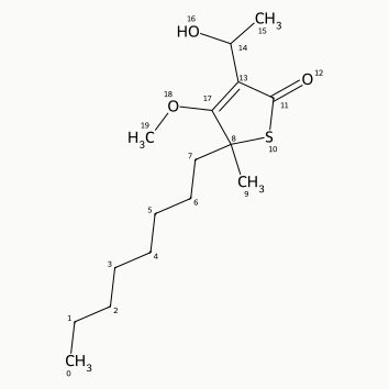 CCCCCCCCC1(C)SC(=O)C(C(C)O)=C1OC